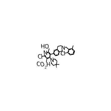 Cc1cccc(Cl)c1CN1CCc2cc(-c3c(CO)nc(Cl)c(CC(=O)O)c3N3CCC(C)(C)CC3)ccc2C1